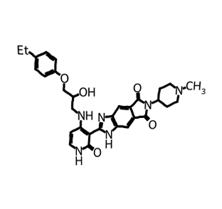 CCc1ccc(OCC(O)CNc2cc[nH]c(=O)c2-c2nc3cc4c(cc3[nH]2)C(=O)N(C2CCN(C)CC2)C4=O)cc1